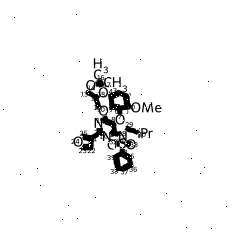 COc1ccccc1Oc1c(OCC2COC(C)(C)O2)nc(-c2ccoc2)nc1N(CC(C)C)S(=O)(=O)c1ccccc1